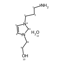 NCCCN1C=CN(CCO)C1.O